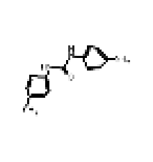 Cc1ccc(NC(=O)Nc2ccc(N)cc2)cc1